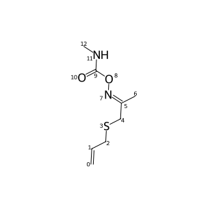 C=CCSCC(C)=NOC(=O)NC